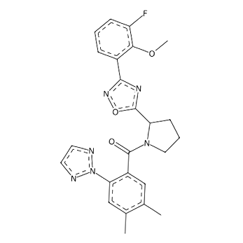 COc1c(F)cccc1-c1noc(C2CCCN2C(=O)c2cc(C)c(C)cc2-n2nccn2)n1